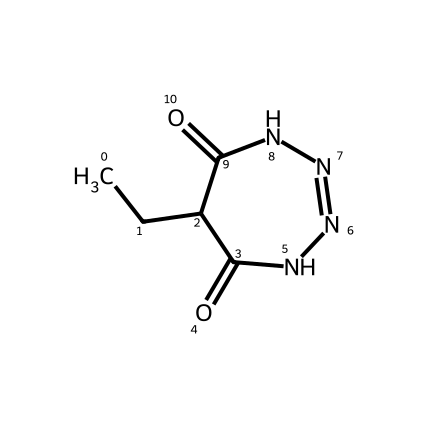 CCC1C(=O)NN=NNC1=O